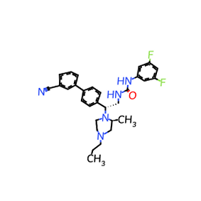 CCCN1CCN([C@@H](CNC(=O)Nc2cc(F)cc(F)c2)c2ccc(-c3cccc(C#N)c3)cc2)[C@@H](C)C1